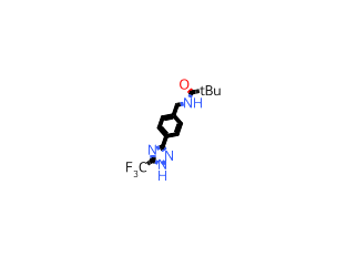 CC(C)(C)C(=O)NCc1ccc(-c2n[nH]c(C(F)(F)F)n2)cc1